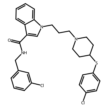 O=C(NCc1cccc(Cl)c1)c1cn(CCCN2CCC(Sc3ccc(Cl)cc3)CC2)c2ccccc12